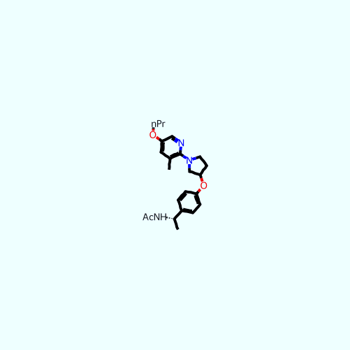 CCCOc1cnc(N2CCC(Oc3ccc([C@H](C)NC(C)=O)cc3)C2)c(C)c1